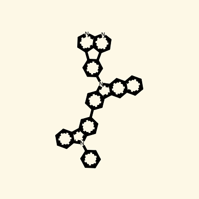 c1ccc(-n2c3ccccc3c3cc(-c4ccc5c(c4)c4cc6ccccc6cc4n5-c4ccc5c(c4)-c4ccnc6nccc-5c46)ccc32)cc1